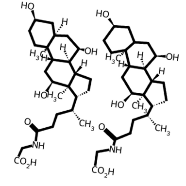 C[C@H](CCC(=O)NCC(=O)O)[C@H]1CC[C@H]2[C@@H]3[C@H](O)CC4C[C@H](O)CC[C@]4(C)[C@H]3C[C@H](O)[C@]12C.C[C@H](CCC(=O)NCC(=O)O)[C@H]1CC[C@H]2[C@@H]3[C@H](O)C[C@@H]4C[C@H](O)CC[C@]4(C)[C@H]3C[C@H](O)[C@]12C